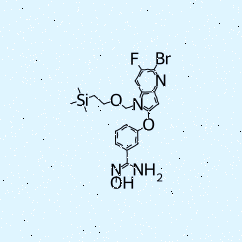 C[Si](C)(C)CCOCn1c(Oc2cccc(/C(N)=N/O)c2)cc2nc(Br)c(F)cc21